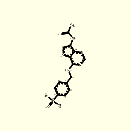 CC(=O)Nc1csc2c(NCc3ccc(P(=O)(O)O)cc3)ncnc12